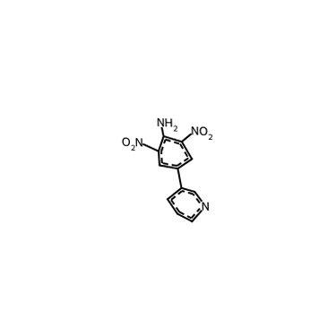 Nc1c([N+](=O)[O-])cc(-c2cccnc2)cc1[N+](=O)[O-]